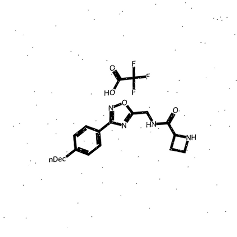 CCCCCCCCCCc1ccc(-c2noc(CNC(=O)C3CCN3)n2)cc1.O=C(O)C(F)(F)F